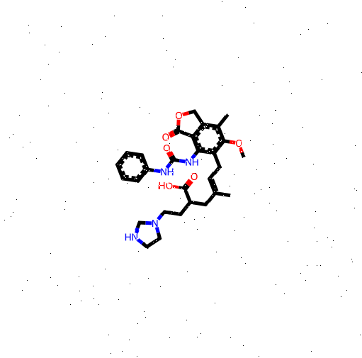 COc1c(C)c2c(c(NC(=O)Nc3ccccc3)c1C/C=C(\C)CC(CCN1CCNC1)C(=O)O)C(=O)OC2